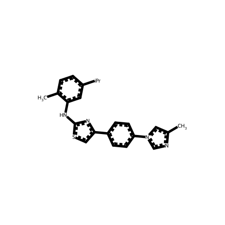 Cc1cn(-c2ccc(-c3csc(Nc4cc(C(C)C)ccc4C)n3)cc2)cn1